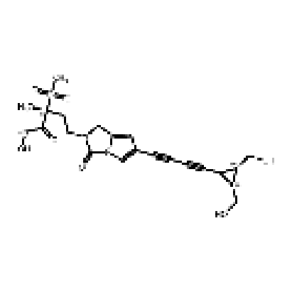 C[C@@](CCN1Cc2cc(C#CC#CC3[C@@H](CO)[C@H]3CO)cn2C1=O)(C(=O)NO)S(C)(=O)=O